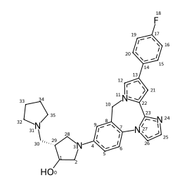 OC1CN(c2ccc3c(c2)Cn2cc(-c4ccc(F)cc4)cc2-c2nccn2-3)C[C@H]1CN1CCCC1